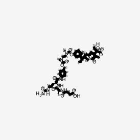 CCc1c2c(nc3ccc(OC(=O)N(C)CCN(C)C(=O)OCc4ccc(NC(=O)[C@H](CCCNC(N)=O)NC(=O)[C@H](C)NC(=O)CCC(=O)O)cc4)cc13)-c1cc3c(c(=O)n1C2)COC(=O)[C@]3(O)CC